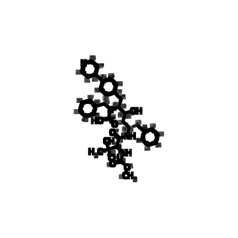 COC(=O)N[C@H](C(=O)N[C@@H](Cc1ccccc1)C[C@H](O)[C@H](Cc1ccc(-c2ccncc2)cc1)N(Cc1ccccc1)C(=O)O)C(C)(C)C